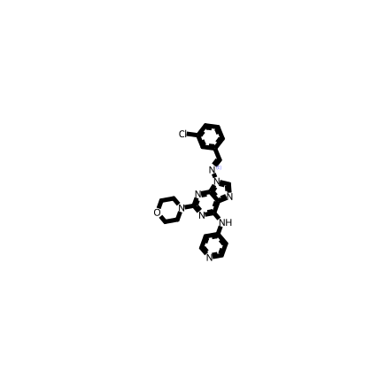 Clc1cccc(/C=N/n2cnc3c(Nc4ccncc4)nc(N4CCOCC4)nc32)c1